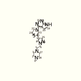 CN1CCN(CCn2cc(C3=CN(c4ncnc5[nH]ccc45)CCS3)cn2)CC1